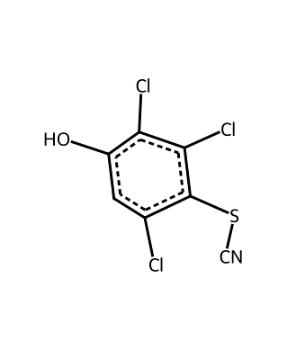 N#CSc1c(Cl)cc(O)c(Cl)c1Cl